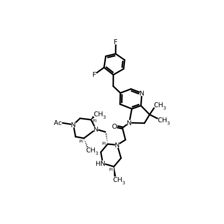 CC(=O)N1C[C@@H](C)N(C[C@H]2CN[C@H](C)CN2CC(=O)N2CC(C)(C)c3ncc(Cc4ccc(F)cc4F)cc32)[C@H](C)C1